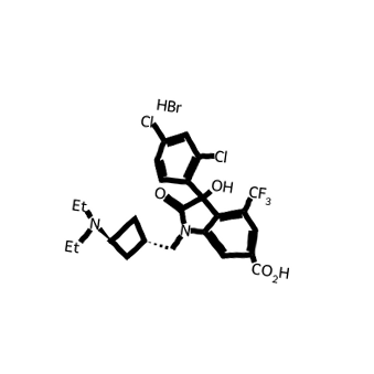 Br.CCN(CC)[C@H]1C[C@H](CN2C(=O)C(O)(c3ccc(Cl)cc3Cl)c3c2cc(C(=O)O)cc3C(F)(F)F)C1